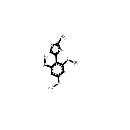 COc1cc(OC)c(-c2csc(N)n2)c(OC)c1